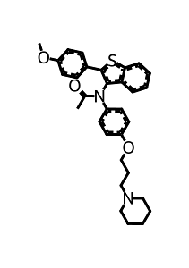 COc1ccc(-c2sc3ccccc3c2N(C(C)=O)c2ccc(OCCCN3CCCCC3)cc2)cc1